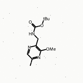 COc1nc(C)cnc1CNC(=O)OC(C)(C)C